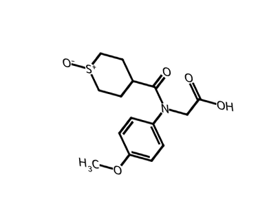 COc1ccc(N(CC(=O)O)C(=O)C2CC[S+]([O-])CC2)cc1